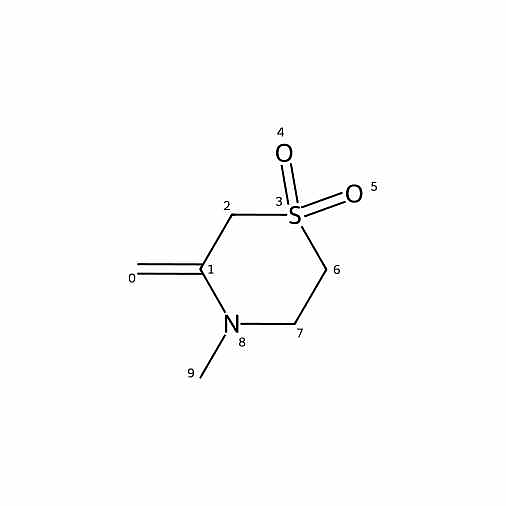 C=C1CS(=O)(=O)CCN1C